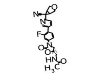 CC(=O)NC[C@H]1CN(c2ccc(-c3ccc(C4(C#N)C5COCC54)nc3)c(F)c2)C(=O)O1